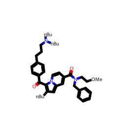 CCCCc1cc2cc(C(=O)N(CCOC)Cc3ccccc3)ccn2c1C(=O)c1ccc(CCCN(CCCC)CCCC)cc1